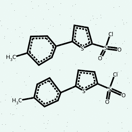 Cc1ccc(-c2ccc(S(=O)(=O)Cl)s2)cc1.Cc1ccc(-c2ccc(S(=O)(=O)Cl)s2)cc1